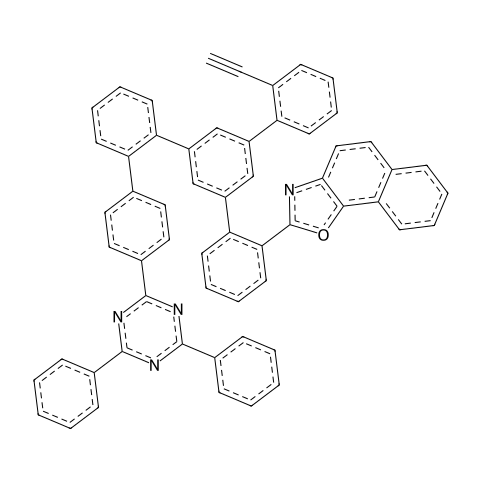 C#Cc1ccccc1-c1cc(-c2ccccc2-c2ccc(-c3nc(-c4ccccc4)nc(-c4ccccc4)n3)cc2)cc(-c2ccccc2-c2nc3ccc4ccccc4c3o2)c1